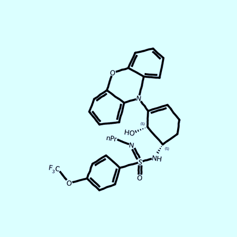 CCCN=S(=O)(N[C@H]1CCC=C(N2c3ccccc3Oc3ccccc32)[C@H]1O)c1ccc(OC(F)(F)F)cc1